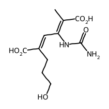 CC(C(=O)O)=C(C=C(CCCO)C(=O)O)NC(N)=O